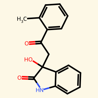 Cc1ccccc1C(=O)CC1(O)C(=O)Nc2ccccc21